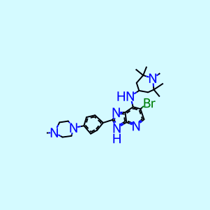 CN1CCN(c2ccc(-c3nc4c(NC5CC(C)(C)N(C)C(C)(C)C5)c(Br)cnc4[nH]3)cc2)CC1